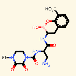 CCN1CCN(C(=O)NC(CN)C(=O)NC2Cc3cccc(C(=O)O)c3OB2O)C(=O)C1=O